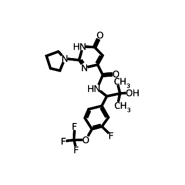 CC(C)(O)C(NC(=O)c1cc(=O)[nH]c(N2CCCC2)n1)c1ccc(OC(F)(F)F)c(F)c1